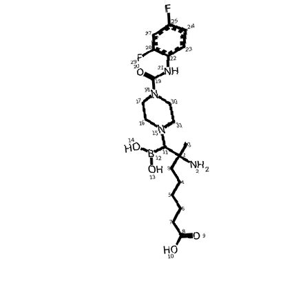 CC(N)(CCCCCC(=O)O)C(B(O)O)N1CCN(C(=O)Nc2ccc(F)cc2F)CC1